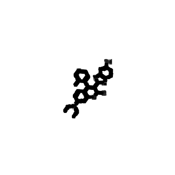 CCN(CC)c1ccc2c(-c3ccccc3C)c(-c3nc4ccc(S)cc4s3)c(=O)oc2c1